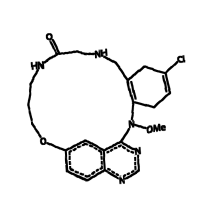 CON1C2=C(CNCC(=O)NCCCOc3ccc4ncnc1c4c3)CC(Cl)=CC2